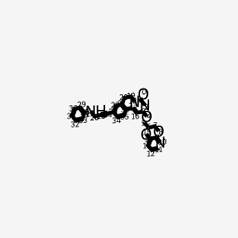 O=c1nc(OCC2COc3ncccc3O2)cc2n1CCc1cc(C#CCNc3ccccc3)ccc1-2